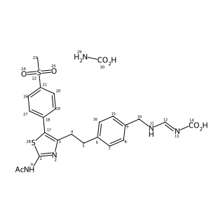 CC(=O)Nc1nc(CCc2ccc(CNC=NC(=O)O)cc2)c(-c2ccc(S(C)(=O)=O)cc2)s1.NC(=O)O